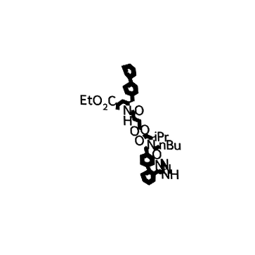 CCCCC(=O)N(Cc1ccc(-c2ccccc2-c2nnn[nH]2)cc1)[C@H](C(=O)OC(=O)CCC(=O)N[C@H](Cc1ccc(-c2ccccc2)cc1)C[C@@H](C)C(=O)OCC)C(C)C